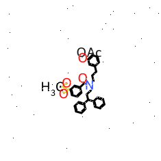 CC(=O)OOc1cccc(CCCN(CCC(c2ccccc2)c2ccccc2)C(=O)c2cccc(S(C)(=O)=O)c2)c1